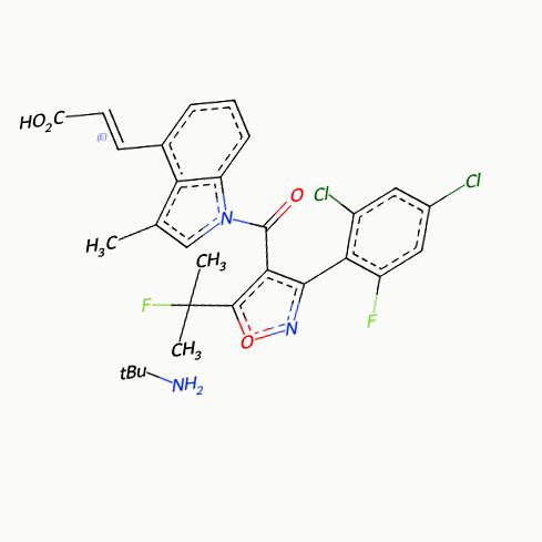 CC(C)(C)N.Cc1cn(C(=O)c2c(-c3c(F)cc(Cl)cc3Cl)noc2C(C)(C)F)c2cccc(/C=C/C(=O)O)c12